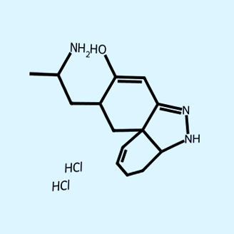 CC(N)CC1CC23C=CCCC2NN=C3C=C1O.Cl.Cl